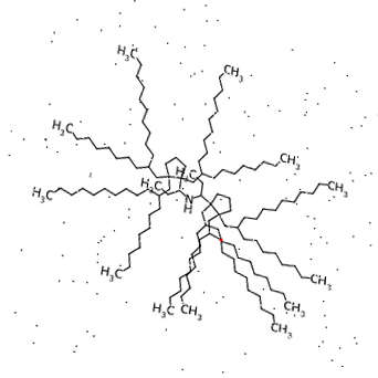 CCCCCCCCCCC(CCCCCCCC)CC1(CC(CCCCCCCC)CCCCCCCCCC)CCCC1(CC(CCCCCCCC)CCCCCCCCCC)C(CC)NC(CC)C1(CC(CCCCCCCC)CCCCCCCCCC)CCCC1(CC(CCCCCCCC)CCCCCCCCCC)CC(CCCCCCCC)CCCCCCCCCC